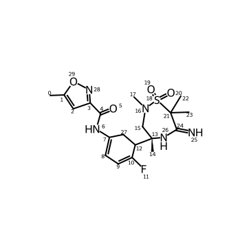 Cc1cc(C(=O)NC2=CC=C(F)C([C@]3(C)CN(C)S(=O)(=O)C(C)(C)C(=N)N3)C2)no1